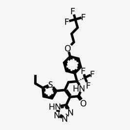 CCc1ccc(C2=C(c3nnn[nH]3)C(=O)N[C@@](c3ccc(OCCCC(F)(F)F)cc3)(C(F)(F)F)C2)s1